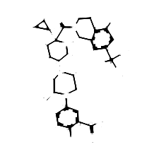 C[C@H]1CN([C@@H]2CC[C@@](C(=O)N3CCc4c(Cl)cc(C(F)(F)F)cc4C3)(C3CC3)OC2)CCN1c1ccc(F)c(C(=O)O)c1